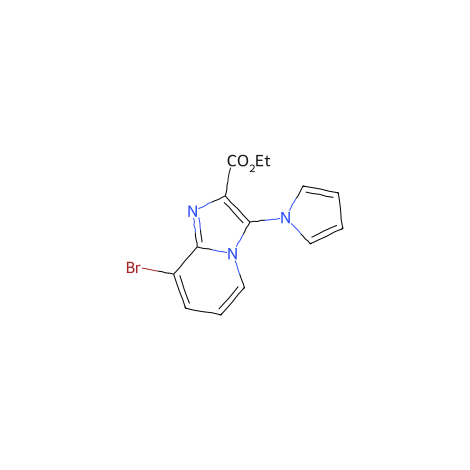 CCOC(=O)c1nc2c(Br)cccn2c1-n1cccc1